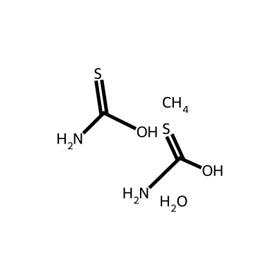 C.NC(O)=S.NC(O)=S.O